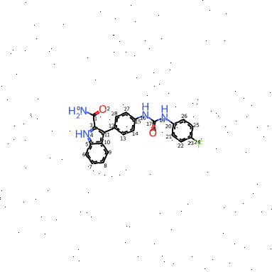 NC(=O)c1[nH]c2ccccc2c1-c1ccc(NC(=O)Nc2ccc(F)cc2)cc1